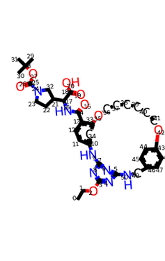 CCOc1nc2nc(n1)Nc1ccc(C(=O)NC(C(=O)O)C3CCN(C(=O)OC(C)(C)C)C3)c(c1)OCCCCCCOc1ccc(cc1)CN2